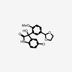 COc1ccc(C2OCCO2)cc1C1(O)C(=O)Nc2ccc(Cl)cc21